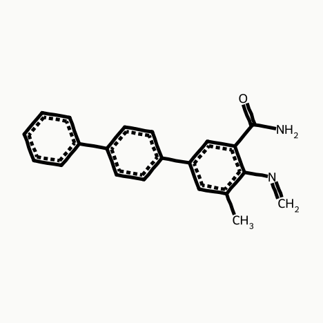 C=Nc1c(C)cc(-c2ccc(-c3ccccc3)cc2)cc1C(N)=O